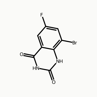 O=c1[nH]c(=O)c2cc(F)cc(Br)c2[nH]1